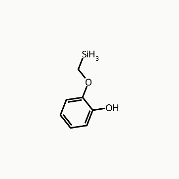 Oc1ccccc1OC[SiH3]